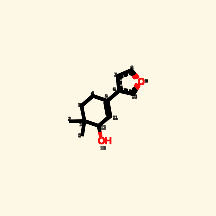 CC1(C)CCC(c2ccoc2)=CC1O